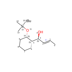 C/C=C/[C@H](O)[C@@H]1CCCC[C@@H]1O[Si](C)(C)C(C)(C)C